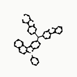 c1ccc(-n2c3ccc(C(c4ccc5c(c4)oc4ccccc45)c4ccc5c(c4)sc4ccccc45)cc3c3c4ccccc4ccc32)cc1